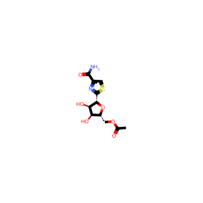 CC(=O)OC[C@H]1O[C@@H](c2nc(C(N)=O)cs2)[C@H](O)[C@@H]1O